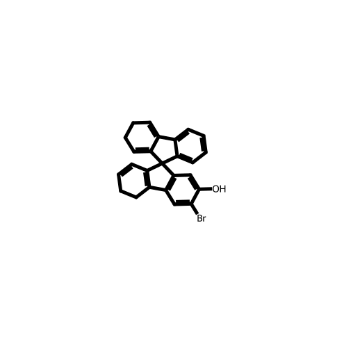 Oc1cc2c(cc1Br)C1=C(C=CCC1)C21C2=CCCC=C2c2ccccc21